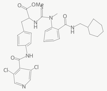 COC(=O)C(Cc1ccc(NC(=O)c2c(Cl)cncc2Cl)cc1)NC(=S)N(C)c1ccccc1C(=O)NCC1CCCCC1